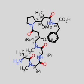 CC[C@H](C)[C@@H]([C@@H](CC(=O)N1CCC[C@H]1[C@H](OC)[C@@H](C)C(=O)N[C@@H](Cc1ccccc1)C(=O)O)OC)N(C)C(=O)[C@@H](NC(=O)[C@H](C(C)C)N(C)C(=O)[C@H](C)N)C(C)C